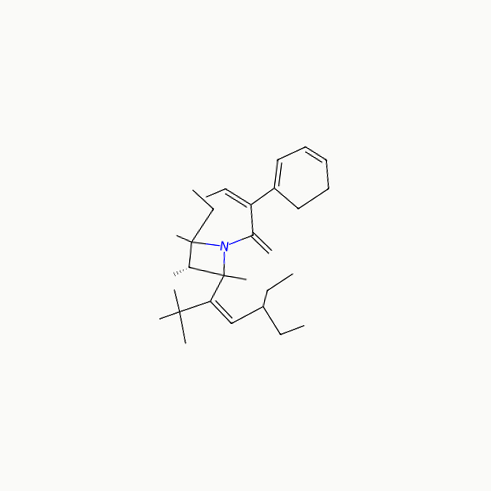 C=C(/C(=C\C)C1=CC=CCC1)N1C(C)(CC)[C@@H](C)C1(C)/C(=C\C(CC)CC)C(C)(C)C